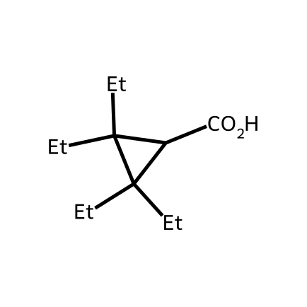 CCC1(CC)C(C(=O)O)C1(CC)CC